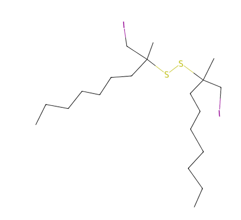 CCCCCCCC(C)(CI)SSC(C)(CI)CCCCCCC